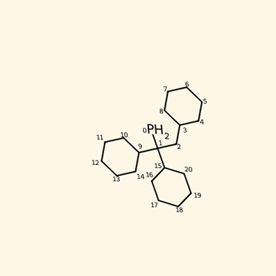 PC(CC1CCCCC1)(C1CCCCC1)C1CCCCC1